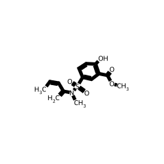 C=C(/C=C\C)N(C)S(=O)(=O)c1ccc(O)c(C(=O)OC)c1